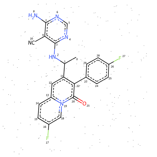 CC(Nc1ncnc(N)c1C#N)c1cc2ccc(F)cn2c(=O)c1-c1ccc(F)cc1